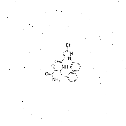 CCc1cc(C(=O)NC(Cc2ccccc2)C(=O)C(N)=O)n(-c2ccccc2)n1